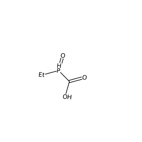 CC[PH](=O)C(=O)O